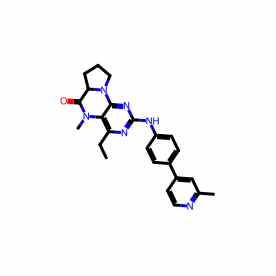 CCc1nc(Nc2ccc(-c3ccnc(C)c3)cc2)nc2c1N(C)C(=O)C1CCCN21